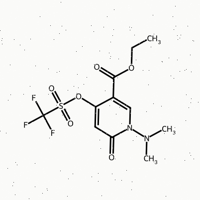 CCOC(=O)c1cn(N(C)C)c(=O)cc1OS(=O)(=O)C(F)(F)F